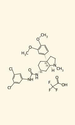 COc1ccc([C@@]23CC[C@@H](NC(=O)Nc4cc(Cl)cc(Cl)c4)C[C@@H]2N(C)CC3)cc1OC.O=C(O)C(F)(F)F